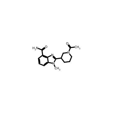 CC(=O)N1CCCC(c2nc3c(C(N)=O)cccc3n2C)C1